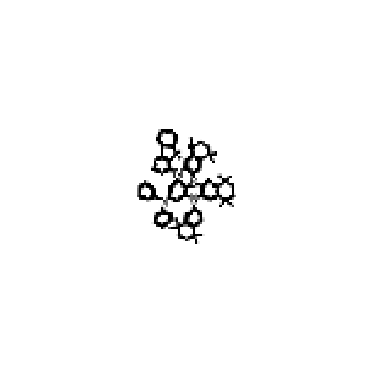 CC1(C)CCC(C)(C)c2cc(N3c4cc5c(cc4B4c6cc7c(cc6N(c6cccc8c6C(C)(C)c6ccccc6-8)c6cc(N(c8ccccc8)c8ccccc8)cc3c64)C(C)(C)CCC7(C)C)C(C)(C)CCC5(C)C)ccc21